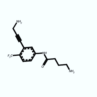 NCC#Cc1cc(NC(=O)CCCN)ccc1C(F)(F)F